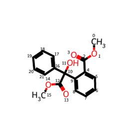 COC(=O)c1ccccc1C(O)(C(=O)OC)c1ccccc1